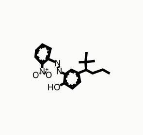 CCCC(c1ccc(O)c(N=Nc2ccccc2[N+](=O)[O-])c1)C(C)(C)C